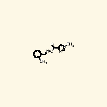 Cc1ccccc1C=NOC(=O)c1cn(C)cn1